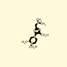 C[C@@H]1CN(c2sc(CN(C)C)nc2C(=O)O)CCN1C(=O)O